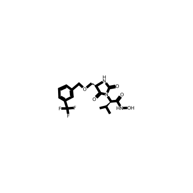 CC(C)[C@H](C(=O)NO)N1C(=O)N[C@@H](COCc2cccc(C(F)(F)F)c2)C1=O